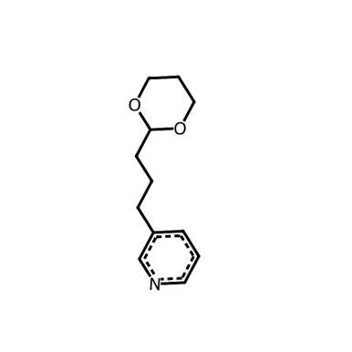 c1cncc(CCCC2OCCCO2)c1